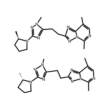 Cc1cnc(C)n2nc(CCc3nc(N4CCC[C@@H]4C)nn3C)nc12.Cc1cnc(C)n2nc(CCc3nc(N4CCC[C@H]4C)nn3C)nc12